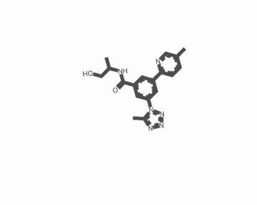 Cc1ccc(-c2cc(C(=O)NC(C)CO)cc(-n3nnnc3C)c2)nc1